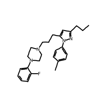 CCCc1cc(CCCN2CCN(c3ccccc3F)CC2)n(-c2ccc(C)cc2)n1